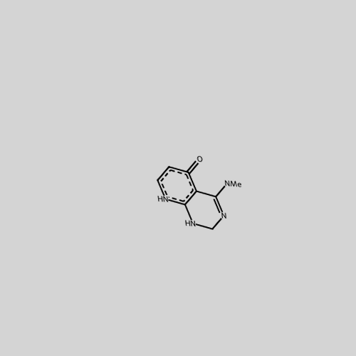 CNC1=NCNc2[nH]ccc(=O)c21